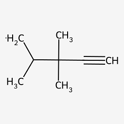 C#CC(C)(C)C([CH2])C